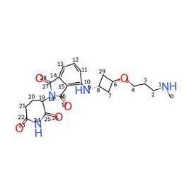 CNCCCO[C@H]1C[C@H](Nc2cccc3c2C(=O)N(C2CCC(=O)NC2=O)C3=O)C1